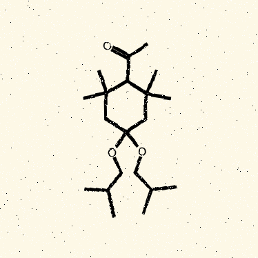 CC(=O)C1C(C)(C)CC(OCC(C)C)(OCC(C)C)CC1(C)C